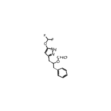 O=COC(Cc1ccccc1)Cc1cc(OC(F)F)[nH]n1